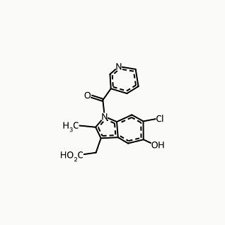 Cc1c(CC(=O)O)c2cc(O)c(Cl)cc2n1C(=O)c1cccnc1